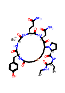 CC[C@H](C)[C@@H]1NC(=O)[C@H](Cc2ccc(O)cc2)NC(=O)CCSCCC(N2CCC[C@H]2C(=O)N[C@@H](CC(C)C)C(=O)NCC(C)=O)C(=O)[C@H](CC(N)=O)NC(=O)[C@H](CCC(N)=O)NC1=O